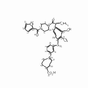 C=C(C(=O)N1CCN(C(=O)c2ccco2)CC1)c1ccc(Sc2cccc(N3CCC(C(=O)O)CC3)c2)c(Cl)c1Cl